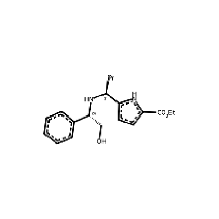 CCOC(=O)c1ccc([C@@H](N[C@H](CO)c2ccccc2)C(C)C)[nH]1